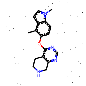 Cc1c(Oc2ncnc3c2CCNC3)ccc2c1ccn2C